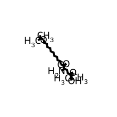 CC(C)OCCCCCCCCCCOC(=O)C(N)CCC(=O)C(C)(C)O